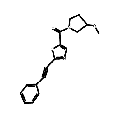 COC1CCN(C(=O)c2cnc(C#Cc3ccccc3)s2)C1